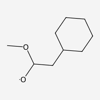 COC([O])CC1CCCCC1